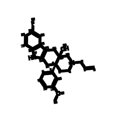 C=CCN1CC[C@@]2(c3cccc(OC)c3)Cc3[nH]c4ccc(F)cc4c3C[C@]2(O)C1